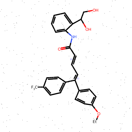 CCOc1ccc(/C(=C/C=C/C(=O)Nc2ccccc2C(O)CO)c2ccc(C(F)(F)F)cc2)cc1